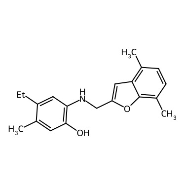 CCc1cc(NCc2cc3c(C)ccc(C)c3o2)c(O)cc1C